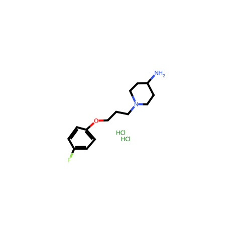 Cl.Cl.NC1CCN(CCCOc2ccc(F)cc2)CC1